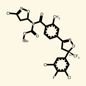 Cc1cc(C2=NO[C@@](c3cc(Cl)c(F)c(Cl)c3)(C(F)(F)F)C2)ccc1C(=O)N(C(=O)OC(C)(C)C)C1CC(Cl)=NO1